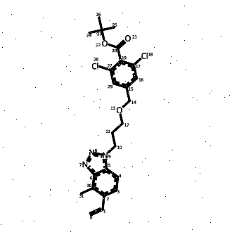 C=Cc1ccc2c(nnn2CCCOCc2cc(Cl)c(C(=O)OC(C)(C)C)c(Cl)c2)c1C